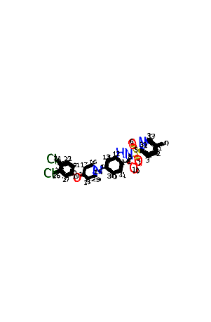 Cc1ccc(S(=O)(=O)NC(=O)[C@H]2CC[C@H](N3CCC(Oc4ccc(Cl)c(Cl)c4)CC3)CC2)nc1